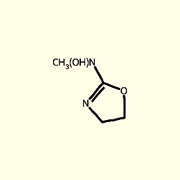 CN(O)C1=NCCO1